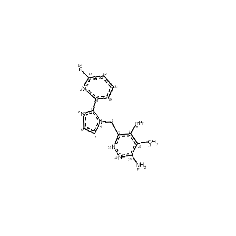 CCCc1c(Cn2ccnc2-c2cccc(F)n2)nnc(N)c1C